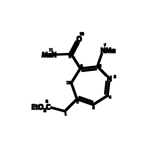 CCOC(=O)CC1=CC=NC(NC)=C(C(=O)NC)C1